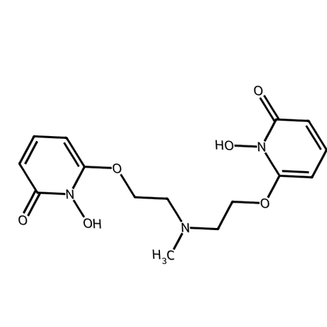 CN(CCOc1cccc(=O)n1O)CCOc1cccc(=O)n1O